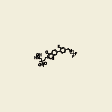 CC(CCn1cnc2cc(-c3ccc(CN4CC(F)(F)C4)cc3F)ccc2c1=O)(CNO)S(C)(=O)=O